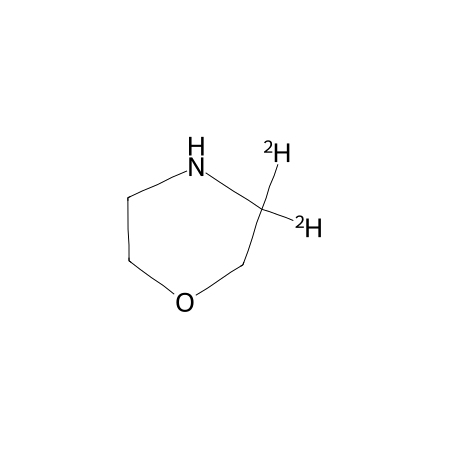 [2H]C1([2H])COCCN1